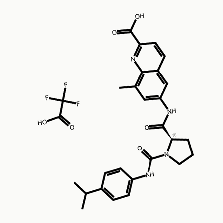 Cc1cc(NC(=O)[C@H]2CCCN2C(=O)Nc2ccc(C(C)C)cc2)cc2ccc(C(=O)O)nc12.O=C(O)C(F)(F)F